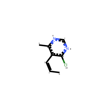 C/C=C\c1c(C)ncnc1Cl